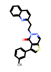 N#Cc1cccc(-c2csc3cnn(CCc4ccc5ccccc5n4)c(=O)c23)c1